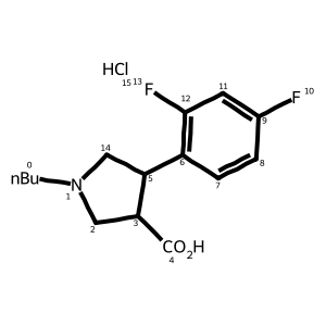 CCCCN1CC(C(=O)O)C(c2ccc(F)cc2F)C1.Cl